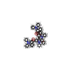 c1ccc(-c2ccccc2N2c3cc4c(cc3B3c5cc6oc7cc(N(c8ccccc8)c8ccccc8)c8ccccc8c7c6cc5N(c5ccccc5-c5ccccc5)c5cccc2c53)oc2cc(N(c3ccccc3)c3ccccc3)c3ccccc3c24)cc1